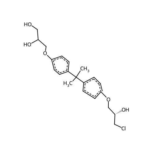 CC(C)(c1ccc(OCC(O)CO)cc1)c1ccc(OC[C@H](O)CCl)cc1